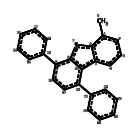 Cc1cccc2c1sc1c(-c3ccccc3)ccc(-c3ccccc3)c12